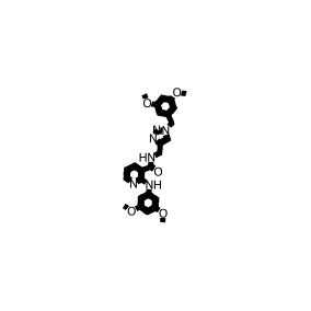 COc1cc(Cn2cc(CNC(=O)c3cccnc3Nc3cc(OC)cc(OC)c3)nn2)cc(OC)c1